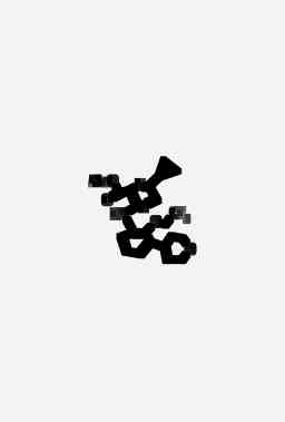 COC(=O)c1nc(C2CC2)cnc1Nc1cccc(C2=CCOCC2)c1OCC(F)(F)F